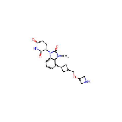 Cn1c(=O)n(C2CCC(=O)NC2=O)c2cccc(C3CC(COC4CNC4)C3)c21